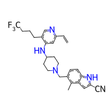 C=Cc1cc(NC2CCN(Cc3ccc4[nH]c(C#N)cc4c3C)CC2)c(CCCC(F)(F)F)cn1